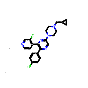 Clc1ccc(-c2ncc(N3CCN(CC4CC4)CC3)nc2-c2ccncc2Cl)cc1